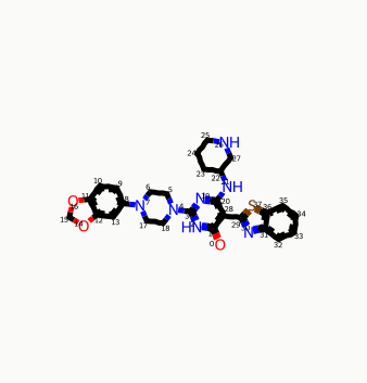 O=c1[nH]c(N2CCN(c3ccc4c(c3)OCO4)CC2)nc(NC2CCCNC2)c1-c1nc2ccccc2s1